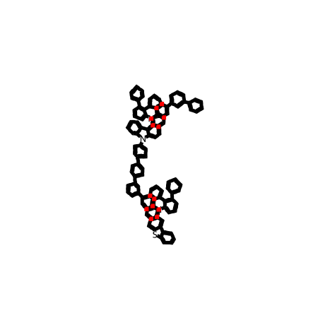 c1ccc(-c2cccc(-c3ccc(N(c4cccc(-c5ccccc5)c4-c4ccccc4-c4ccccc4)c4cccc5c4c4ccccc4n5-c4ccc(-c5ccc(-c6cccc(-c7ccc(N(c8ccc9sc%10ccccc%10c9c8)c8cccc(-c9ccccc9)c8-c8ccccc8-c8ccccc8)cc7)c6)cc5)cc4)cc3)c2)cc1